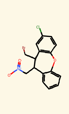 O=[N+]([O-])CC1c2ccccc2Oc2ccc(Cl)cc2C1CBr